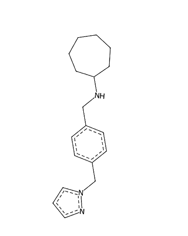 c1cnn(Cc2ccc(CNC3CCCCCC3)cc2)c1